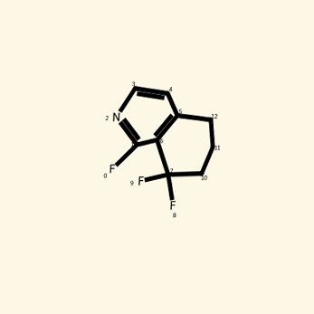 Fc1nccc2c1C(F)(F)CCC2